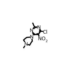 Cc1nc(Cl)c([N+](=O)[O-])c(N2CCN(C)CC2)n1